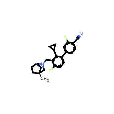 C[C@@]12CCC(C1)N(Cc1c(F)ccc(-c3ccc(C#N)c(F)c3)c1C1CC1)C2